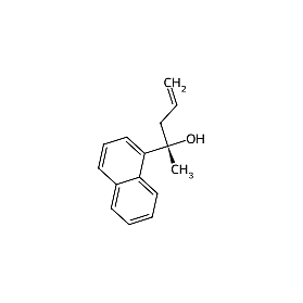 C=CC[C@](C)(O)c1cccc2ccccc12